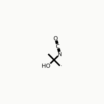 [CH2]C(C)(O)N=C=O